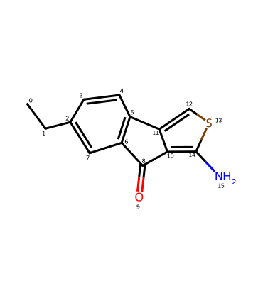 CCc1ccc2c(c1)C(=O)c1c-2csc1N